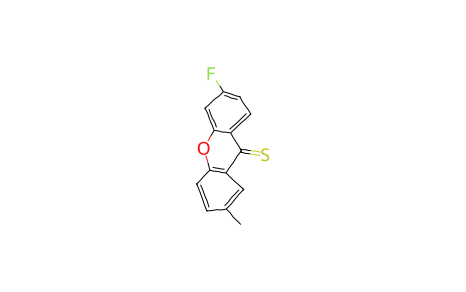 Cc1ccc2oc3cc(F)ccc3c(=S)c2c1